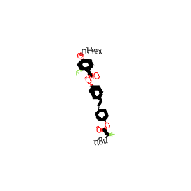 CCCCCCOc1ccc(C(=O)Oc2ccc(CC[C@H]3CC[C@H](OC(=O)[C@@H](F)CCCC)CC3)cc2)c(F)c1